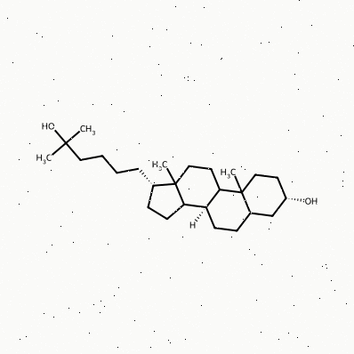 CC(C)(O)CCCC[C@H]1CCC2[C@@H]3CCC4C[C@@H](O)CCC4(C)C3CCC21C